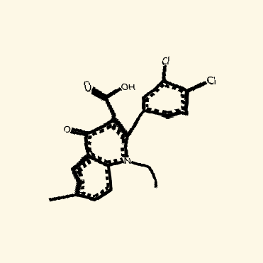 CCn1c(-c2ccc(Cl)c(Cl)c2)c(C(=O)O)c(=O)c2cc(C)ccc21